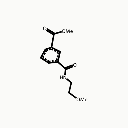 COCCNC(=O)c1cccc(C(=O)OC)c1